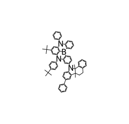 CC(C)(C)c1ccc(N2c3cc(N4c5ccc(-c6ccccc6)cc5C5(C)CCc6ccccc6C45C)ccc3B3c4ccccc4N(c4ccccc4)c4cc(C(C)(C)C)cc2c43)cc1